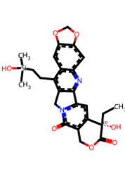 CC[C@@]1(O)C(=O)OCc2c1cc1n(c2=O)Cc2c-1nc1cc3c(cc1c2CC[Si](C)(C)O)OCO3